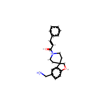 NCc1ccc2c(c1)C1(CCN(C(=O)/C=C/c3ccccc3)CC1)CO2